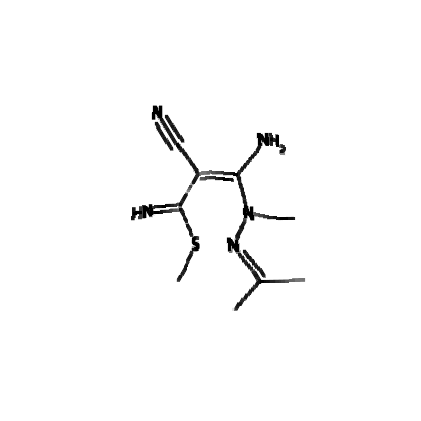 CSC(=N)/C(C#N)=C(/N)N(C)N=C(C)C